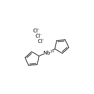 C1=C[CH]([Nb+3][CH]2C=CC=C2)C=C1.[Cl-].[Cl-].[Cl-]